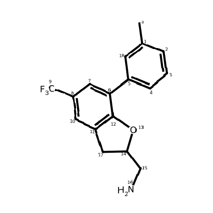 Cc1cccc(-c2cc(C(F)(F)F)cc3c2OC(CN)C3)c1